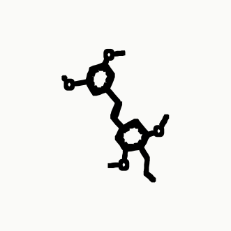 CCCc1c(OC)cc(/C=C/c2cc(OC)cc(OC)c2)cc1OC